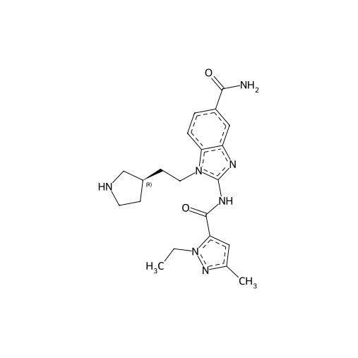 CCn1nc(C)cc1C(=O)Nc1nc2cc(C(N)=O)ccc2n1CC[C@H]1CCNC1